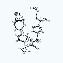 CN(CCO)c1cnc(C(=O)NC(=N)C2(c3ccc(-c4cnc(N)nc4)cc3)CCC2)cn1